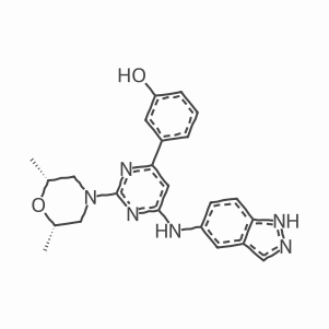 C[C@@H]1CN(c2nc(Nc3ccc4[nH]ncc4c3)cc(-c3cccc(O)c3)n2)C[C@H](C)O1